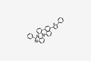 c1ccc(-c2ccc(-c3ccc(-c4cccc5c4N(c4ccccc4)c4cccc6nc(-c7ccccc7)n-5c46)cc3)s2)cc1